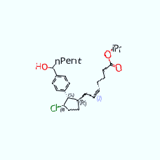 CCCCCC(O)c1ccc([C@@H]2[C@@H](C/C=C\CCCC(=O)OC(C)C)CC[C@H]2Cl)cc1